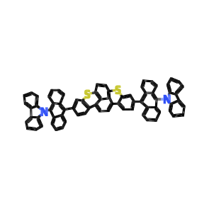 c1ccc2c(-n3c4ccccc4c4ccccc43)c3ccccc3c(-c3ccc4c(c3)Sc3ccc5c6c(ccc-4c36)-c3ccc(-c4c6ccccc6c(-n6c7ccccc7c7ccccc76)c6ccccc46)cc3S5)c2c1